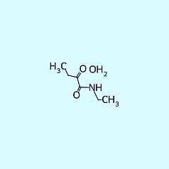 CCNC(=O)C(=O)CC.O